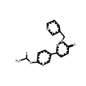 CC(F)Oc1ccc(-c2ccc(=O)n(Cc3cccnc3)n2)cn1